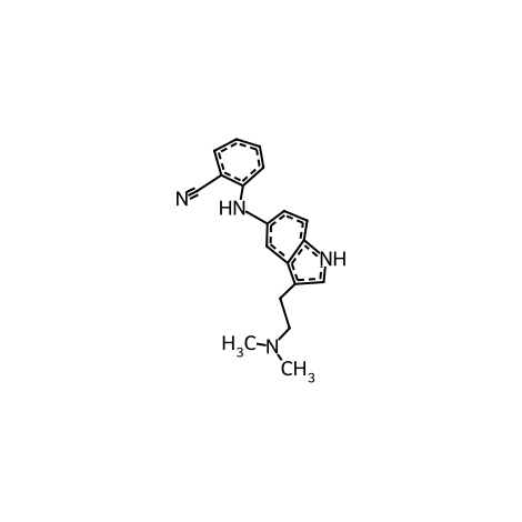 CN(C)CCc1c[nH]c2ccc(Nc3ccccc3C#N)cc12